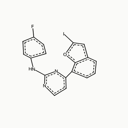 Fc1ccc(Nc2nccc(-c3cccc4cc(I)oc34)n2)cc1